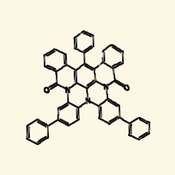 O=c1c2ccccc2c2c(-c3ccccc3)c3c4ccccc4c(=O)n4c3c3c2n1-c1cc(-c2ccccc2)ccc1N3c1ccc(-c2ccccc2)cc1-4